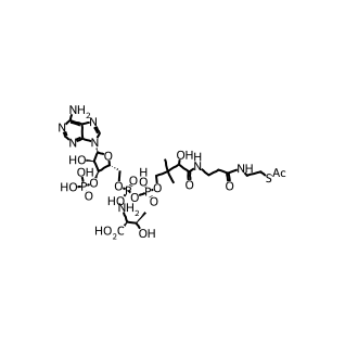 CC(=O)SCCNC(=O)CCNC(=O)C(O)C(C)(C)COP(=O)(O)OP(=O)(O)OC[C@H]1O[C@@H](n2cnc3c(N)ncnc32)[C@H](O)[C@@H]1OP(=O)(O)O.C[C@@H](O)[C@H](N)C(=O)O